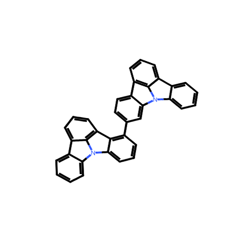 c1ccc2c(c1)c1cccc3c4ccc(-c5cccc6c5c5cccc7c8ccccc8n6c75)cc4n2c13